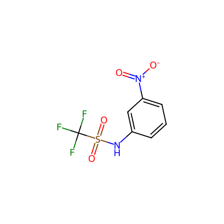 O=[N+]([O-])c1cccc(NS(=O)(=O)C(F)(F)F)c1